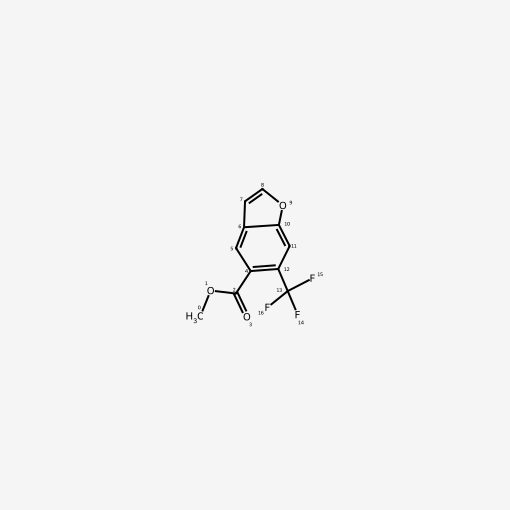 COC(=O)c1cc2ccoc2cc1C(F)(F)F